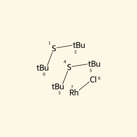 CC(C)(C)SC(C)(C)C.CC(C)(C)SC(C)(C)C.[Cl][Rh]